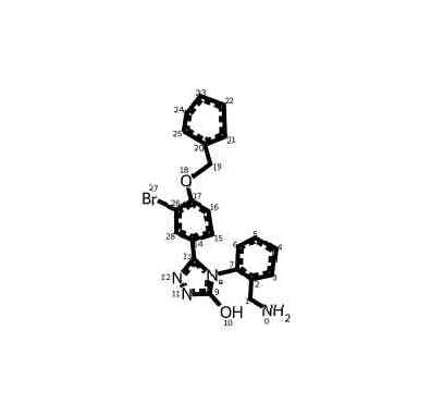 NCc1ccccc1-n1c(O)nnc1-c1ccc(OCc2ccccc2)c(Br)c1